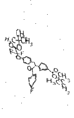 CC(C)(C)OC(=O)c1ccc(C(Cc2ccc(OC(F)(F)C(=O)OC(C)(C)C)cc2)C(=O)c2ccc(F)cc2)cc1